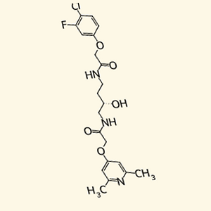 Cc1cc(OCC(=O)NC[C@@H](O)CCNC(=O)COc2ccc(Cl)c(F)c2)cc(C)n1